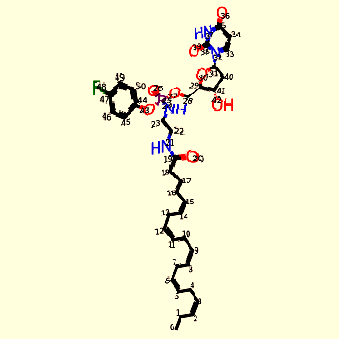 CC/C=C\C/C=C\C/C=C\C/C=C\C/C=C\CCCC(=O)NCCNP(=O)(OC[C@H]1O[C@@H](n2ccc(=O)[nH]c2=O)C[C@@H]1O)Oc1ccc(F)cc1